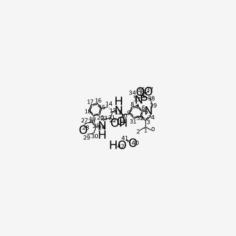 CC(C)c1cn2c3c(cc(C(=O)N[C@@H](Cc4ccccc4)[C@H](O)CNC4CCOCC4)cc13)N(C)S(=O)(=O)CC2.O=CO